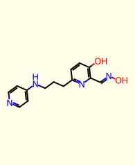 O/N=C/c1nc(CCCNc2ccncc2)ccc1O